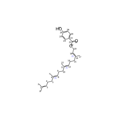 CC(C)=CCC/C(C)=C/CC/C(C)=C/CC/C(C)=C/COC(=O)c1ccc(O)cc1